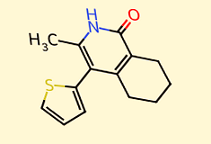 Cc1[nH]c(=O)c2c(c1-c1cccs1)CCCC2